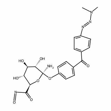 CN(C)/N=N/c1ccc(C(=O)c2ccc(O[C@@]3(N)O[C@@H](C(=O)N=O)[C@H](O)[C@@H](O)[C@@H]3O)cc2)cc1